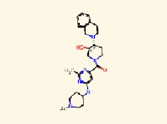 CC(=O)N1CCC(Nc2cc(C(=O)N3CC[C@@H](N4CCc5ccccc5C4)[C@H](O)C3)nc(C)n2)CC1